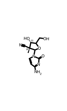 C[C@]1(C#N)C(n2ccc(N)nc2=O)OC(CO)[C@H]1O